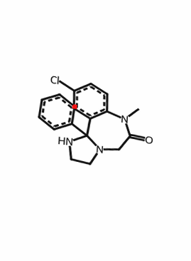 CN1C(=O)CN2CCNC2(c2ccccc2)c2cc(Cl)ccc21